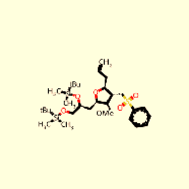 C=CC[C@@H]1O[C@H](C[C@@H](CO[Si](C)(C)C(C)(C)C)O[Si](C)(C)C(C)(C)C)[C@H](OC)[C@H]1CS(=O)(=O)c1ccccc1